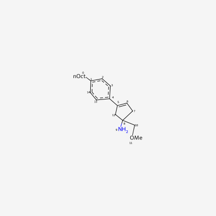 CCCCCCCCc1ccc(C2=CCC(N)(COC)C2)cc1